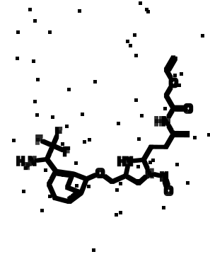 C=COCC(=O)NC(=C)CCC1NC(COC2C3=CCCC(C(N)C(F)(F)F)=C2C3)CN1N=O